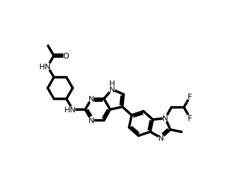 CC(=O)NC1CCC(Nc2ncc3c(-c4ccc5nc(C)n(CC(F)F)c5c4)c[nH]c3n2)CC1